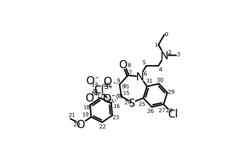 CCN(C)CCN1C(=O)[C@@H](O[Cl+3]([O-])([O-])[O-])[C@@H](c2ccc(OC)cc2)Sc2cc(Cl)ccc21